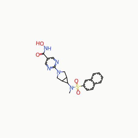 CN(C1C2CN(c3ncc(C(=O)NO)cn3)CC21)S(=O)(=O)c1ccc2ccccc2c1